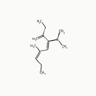 C=C(CC)/C(=C\C(C)=C/CC)B(C)C